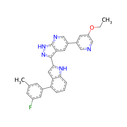 CCOc1cncc(-c2cnc3[nH]nc(-c4cc5c(-c6cc(C)cc(F)c6)cccc5[nH]4)c3c2)c1